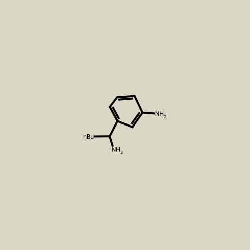 CCCCC(N)c1cccc(N)c1